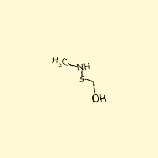 CNSCO